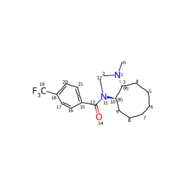 CN(C)[C@@H]1CCCCCC[C@H]1N(C)C(=O)c1ccc(C(F)(F)F)cc1